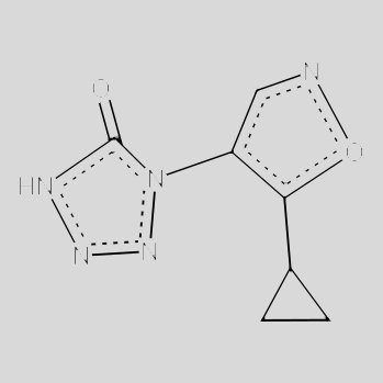 O=c1[nH]nnn1-c1cnoc1C1CC1